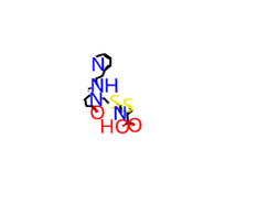 O=C(O)c1csc(SCCN2C(=O)CC[C@@H]2CNCCc2ccccn2)n1